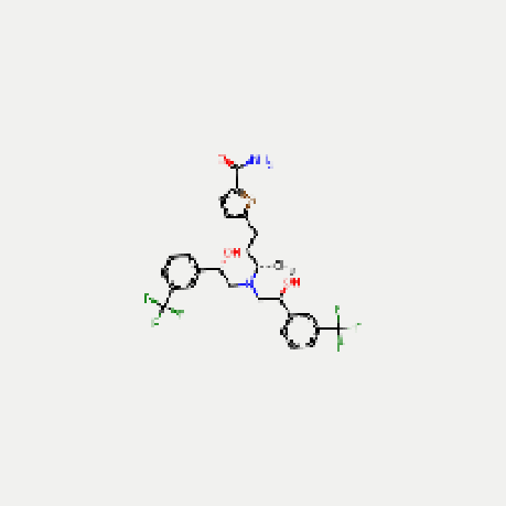 C[C@@H](CCc1ccc(C(N)=O)s1)N(C[C@@H](O)c1cccc(C(F)(F)F)c1)C[C@@H](O)c1cccc(C(F)(F)F)c1